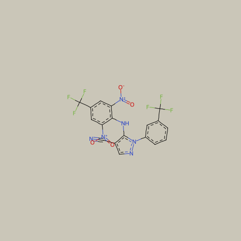 N#Cc1cnn(-c2cccc(C(F)(F)F)c2)c1Nc1c([N+](=O)[O-])cc(C(F)(F)F)cc1[N+](=O)[O-]